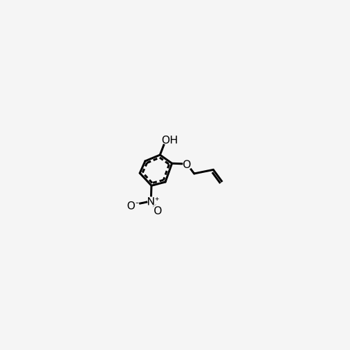 C=CCOc1cc([N+](=O)[O-])ccc1O